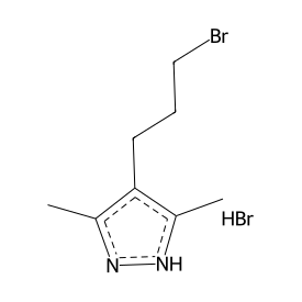 Br.Cc1n[nH]c(C)c1CCCBr